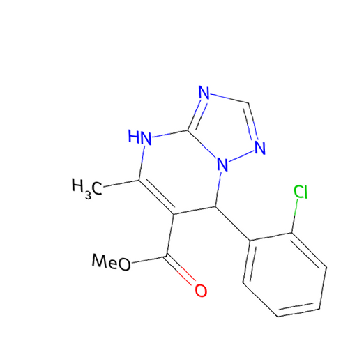 COC(=O)C1=C(C)Nc2ncnn2C1c1ccccc1Cl